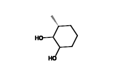 C[C@@H]1CCCC(O)C1O